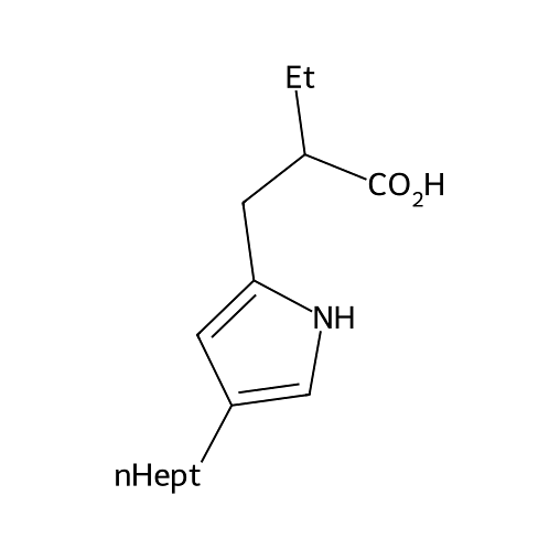 CCCCCCCc1c[nH]c(CC(CC)C(=O)O)c1